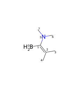 BC(=C(C)C)N(C)C